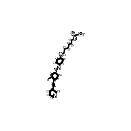 Cc1cc(/N=N/c2ccc(OCCCCCCOC(=O)C(C)C)cc2)ccc1C#Cc1cccnc1